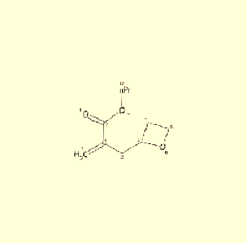 C=C(CC1CCO1)C(=O)OCCC